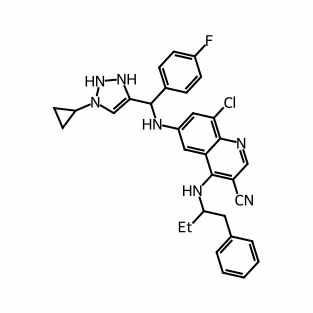 CCC(Cc1ccccc1)Nc1c(C#N)cnc2c(Cl)cc(NC(C3=CN(C4CC4)NN3)c3ccc(F)cc3)cc12